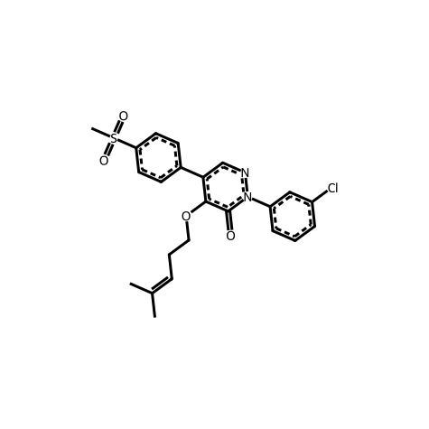 CC(C)=CCCOc1c(-c2ccc(S(C)(=O)=O)cc2)cnn(-c2cccc(Cl)c2)c1=O